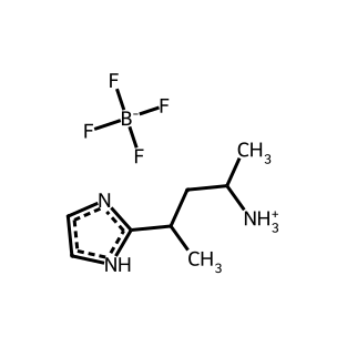 CC([NH3+])CC(C)c1ncc[nH]1.F[B-](F)(F)F